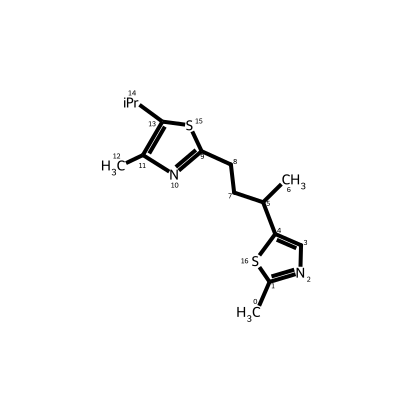 Cc1ncc(C(C)CCc2nc(C)c(C(C)C)s2)s1